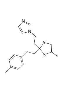 Cc1ccc(CCC2(CCn3ccnc3)SCC(C)S2)cc1